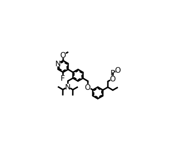 CCC(COP=O)c1cccc(OCc2ccc(-c3cc(OC)ncc3F)c(CN(C(C)C)C(C)C)c2)c1